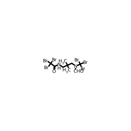 CC(C)(CNC(=O)C(Br)(Br)Br)CN(C=O)C(Br)(Br)Br